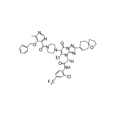 [2H]C(C(=O)Nc1ccc(C(F)(F)F)cc1Cl)n1c(CC)c(N2CCN(C(=O)c3ncnc(C)c3OCc3ccccc3)CC2)c(=O)n2nc(C3=CCC4(CCCO4)CC3)nc12